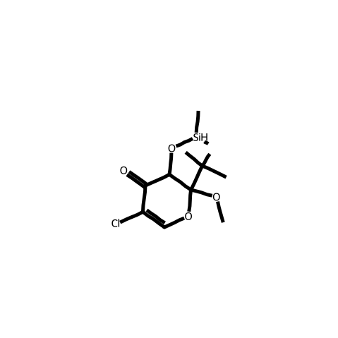 COC1(C(C)(C)C)OC=C(Cl)C(=O)C1O[SiH](C)C